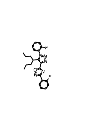 CCCC(CCC)c1c(-c2nc(-c3ccccc3F)no2)nnn1-c1ccccc1F